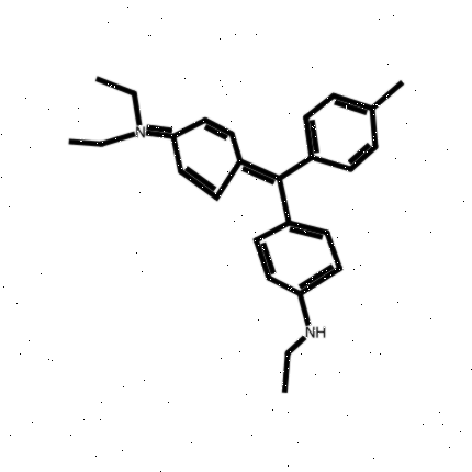 CCNc1ccc(C(=C2C=CC(=[N+](CC)CC)C=C2)c2ccc(C)cc2)cc1